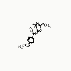 CCC1=N[N]C(=NC(=O)c2ccc(OC)cc2)S1